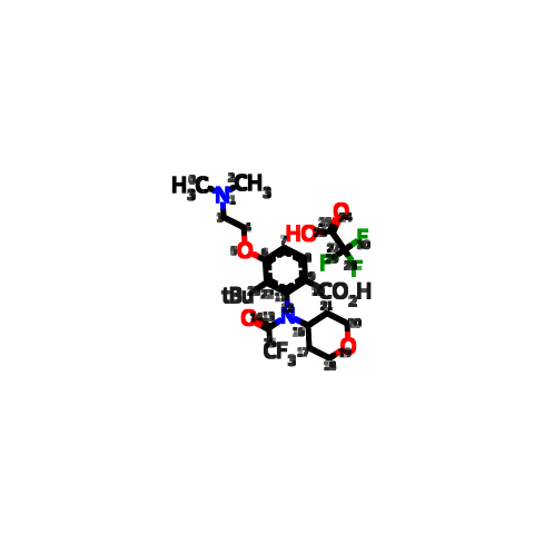 CN(C)CCOc1ccc(C(=O)O)c(N(C(=O)C(F)(F)F)C2CCOCC2)c1C(C)(C)C.O=C(O)C(F)(F)F